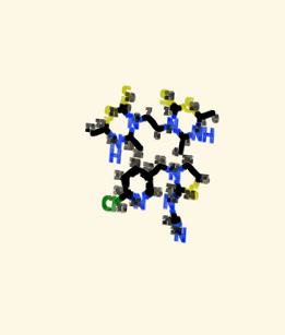 CC1NC(C)N(CCN2C(=S)SC(C)NC2C)C(=S)S1.N#C/N=C1\SCCN1Cc1ccc(Cl)nc1